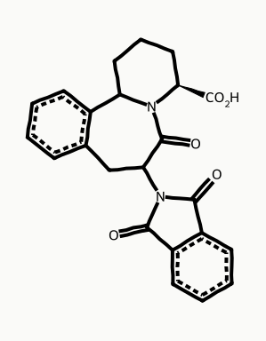 O=C(O)[C@@H]1CCCC2c3ccccc3CC(N3C(=O)c4ccccc4C3=O)C(=O)N21